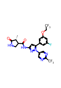 C[C@H]1C(=O)NCC1C(=O)Nc1cc(-c2cc(F)cc(OCC(F)(F)F)c2)n(-c2cnc(C(F)(F)F)nc2)n1